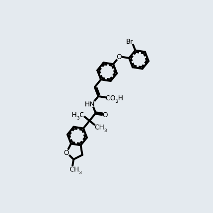 CC1Cc2cc(C(C)(C)C(=O)N/C(=C/c3ccc(Oc4ccccc4Br)cc3)C(=O)O)ccc2O1